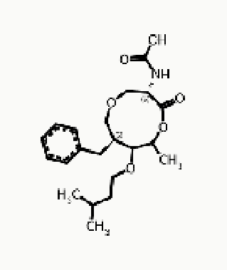 CC(C)CCOC1C(C)OC(=O)[C@@H](NC(=O)O)COC[C@@H]1Cc1ccccc1